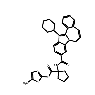 Cc1cnc(NC(=O)C2(NC(=O)c3ccc4c(C5CCCCC5)c5n(c4c3)CC=Cc3ccccc3-5)CCCC2)s1